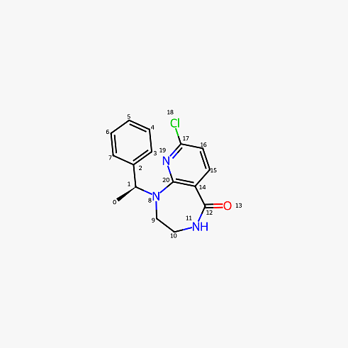 C[C@@H](c1ccccc1)N1CCNC(=O)c2ccc(Cl)nc21